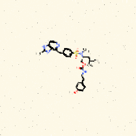 COc1ccc(CCNC(=O)OC[C@H](CC(C)C)N(C)S(=O)(=O)c2ccc(Cc3nccc4[nH]c(C)nc34)cc2)cc1